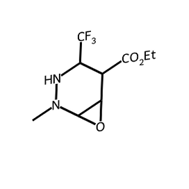 CCOC(=O)C1C2OC2N(C)NC1C(F)(F)F